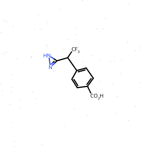 O=C(O)c1ccc(C(C2=NN2)C(F)(F)F)cc1